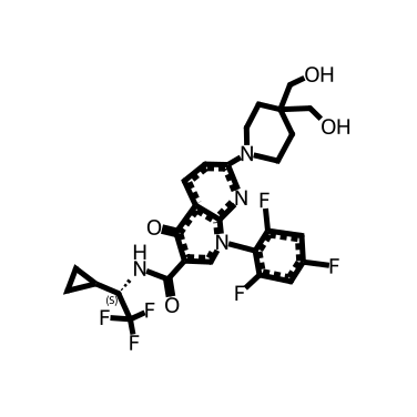 O=C(N[C@@H](C1CC1)C(F)(F)F)c1cn(-c2c(F)cc(F)cc2F)c2nc(N3CCC(CO)(CO)CC3)ccc2c1=O